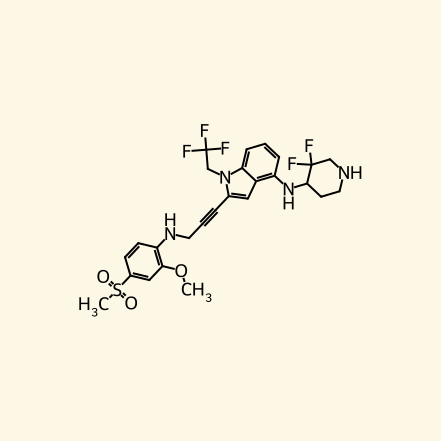 COc1cc(S(C)(=O)=O)ccc1NCC#Cc1cc2c(NC3CCNCC3(F)F)cccc2n1CC(F)(F)F